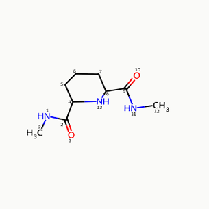 CNC(=O)C1CCCC(C(=O)NC)N1